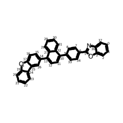 c1ccc2oc(-c3ccc(-c4ccc(-c5ccc6oc7ccccc7c6c5)c5ccccc45)cc3)nc2c1